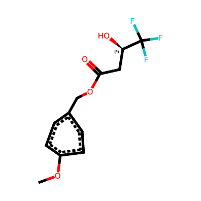 COc1ccc(COC(=O)C[C@@H](O)C(F)(F)F)cc1